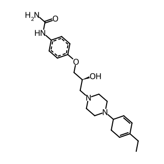 CCC1=CCC(N2CCN(C[C@H](O)COc3ccc(NC(N)=O)cc3)CC2)C=C1